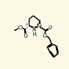 COC(=O)[C@@H]1CCCN(C(=O)OCc2ccccc2)N1